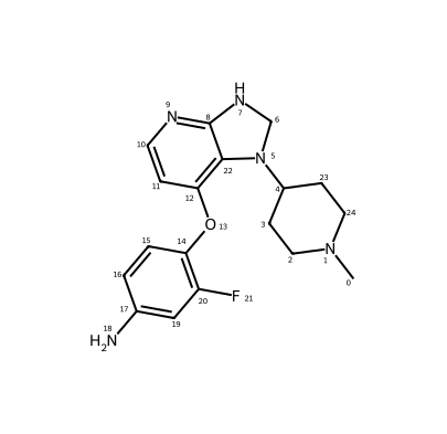 CN1CCC(N2CNc3nccc(Oc4ccc(N)cc4F)c32)CC1